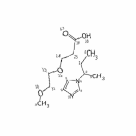 CCC(C)n1ccnc1.COCCOCCC(=O)O